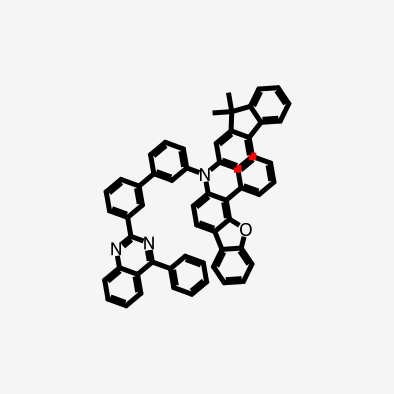 CC1(C)c2ccccc2-c2ccc(N(c3cccc(-c4cccc(-c5nc(-c6ccccc6)c6ccccc6n5)c4)c3)c3ccc4c(oc5ccccc54)c3-c3ccccc3)cc21